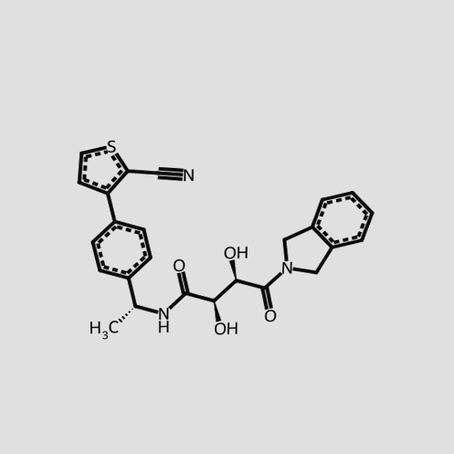 C[C@@H](NC(=O)[C@H](O)[C@@H](O)C(=O)N1Cc2ccccc2C1)c1ccc(-c2ccsc2C#N)cc1